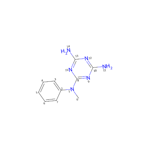 CN(c1ccccc1)c1nc(N)nc(N)n1